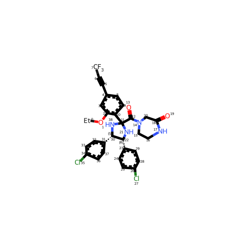 CCOc1cc(C#CC(F)(F)F)ccc1C1(C(=O)N2CCNC(=O)C2)N[C@H](c2ccc(Cl)cc2)[C@H](c2ccc(Cl)cc2)N1